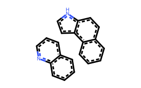 c1ccc2c(c1)ccc1[nH]ccc12.c1ccc2ncccc2c1